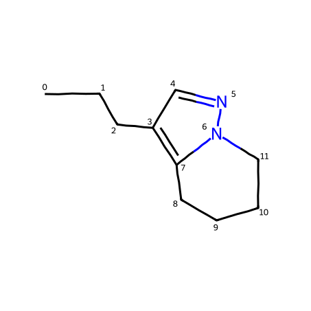 CCCc1cnn2c1CCCC2